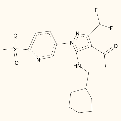 CC(=O)c1c(C(F)F)nn(-c2ccc(S(C)(=O)=O)nc2)c1NCC1CCCCC1